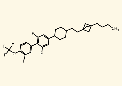 CCCCC12CC(CCC3CCC(c4cc(F)c(-c5ccc(OC(F)(F)F)c(F)c5)c(F)c4)CC3)(C1)C2